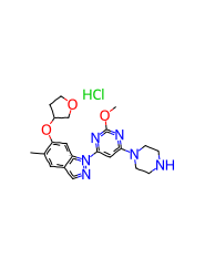 COc1nc(N2CCNCC2)cc(-n2ncc3cc(C)c(OC4CCOC4)cc32)n1.Cl